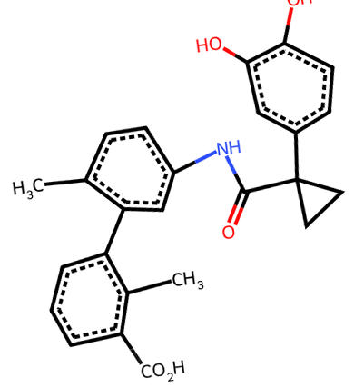 Cc1ccc(NC(=O)C2(c3ccc(O)c(O)c3)CC2)cc1-c1cccc(C(=O)O)c1C